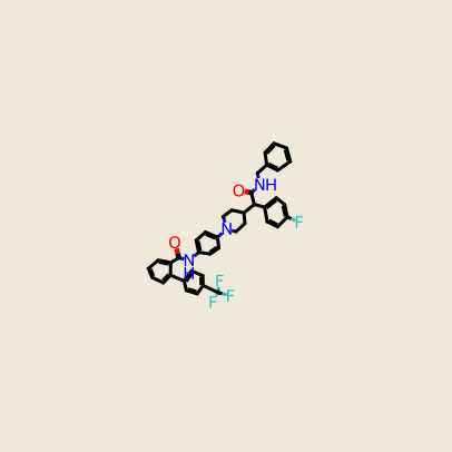 O=C(Nc1ccc(N2CCC(C(C(=O)NCc3ccccc3)c3ccc(F)cc3)CC2)cc1)c1ccccc1-c1ccc(C(F)(F)F)cc1